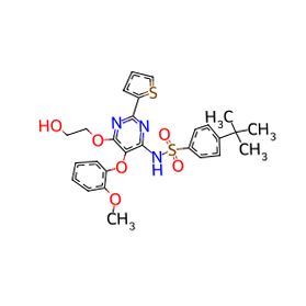 COc1ccccc1Oc1c(NS(=O)(=O)c2ccc(C(C)(C)C)cc2)nc(-c2cccs2)nc1OCCO